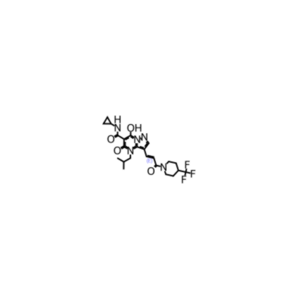 CC(C)Cn1c(=O)c(C(=O)NC2CC2)c(O)n2ncc(/C=C/C(=O)N3CCC(C(F)(F)F)CC3)c12